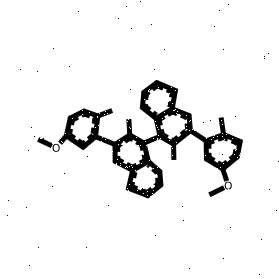 COc1ccc(C)c(-c2cc3ccccc3c(-c3c(C)c(-c4cc(OC)ccc4C)cc4ccccc34)c2C)c1